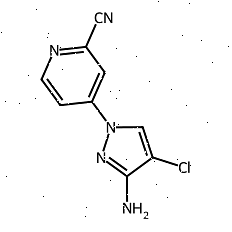 N#Cc1cc(-n2cc(Cl)c(N)n2)ccn1